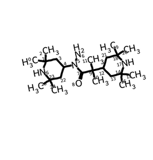 CC1(C)CC(N(N)C(=O)C(C)(C)C2CC(C)(C)NC(C)(C)C2)CC(C)(C)N1